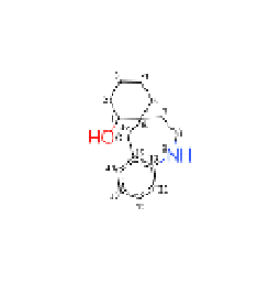 OC1CCCCC12CCNc1ccccc1C2